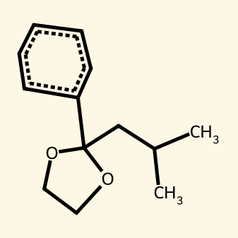 CC(C)CC1(c2ccccc2)OCCO1